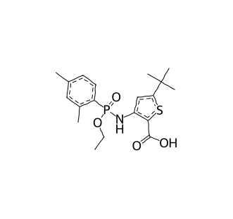 CCOP(=O)(Nc1cc(C(C)(C)C)sc1C(=O)O)c1ccc(C)cc1C